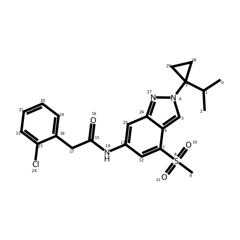 CC(C)C1(n2cc3c(S(C)(=O)=O)cc(NC(=O)Cc4ccccc4Cl)cc3n2)CC1